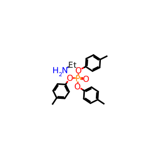 CCN.Cc1ccc(OP(=O)(Oc2ccc(C)cc2)Oc2ccc(C)cc2)cc1